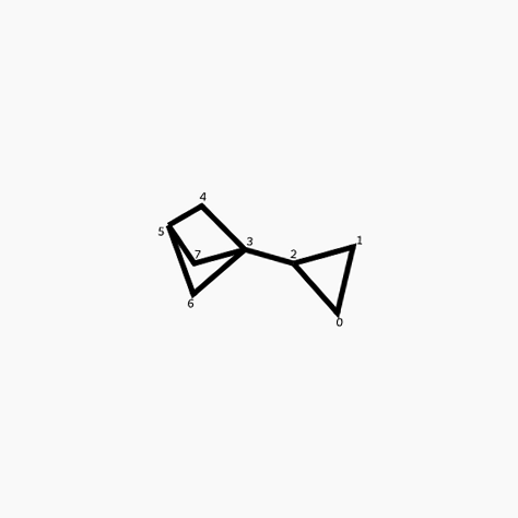 C1CC1C12CC(C1)C2